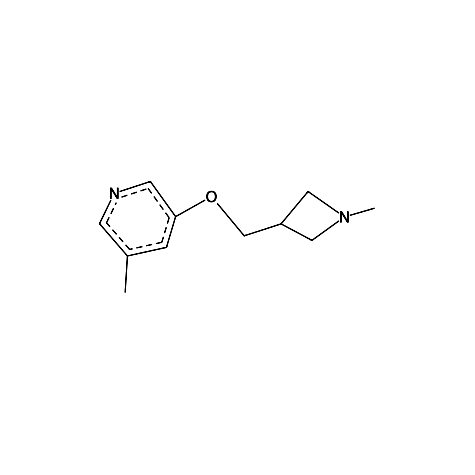 Cc1cncc(OCC2CN(C)C2)c1